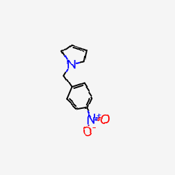 O=[N+]([O-])c1ccc(CN2CC=CC2)cc1